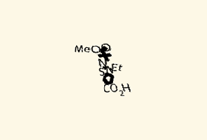 CCn1c(=NCC(C)(C)C(=O)OC)sc2cc(C(=O)O)ccc21